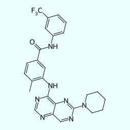 Cc1ccc(C(=O)Nc2cccc(C(F)(F)F)c2)cc1Nc1ncnc2cnc(N3CCCCC3)nc12